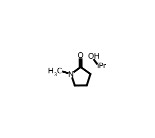 CC(C)O.CN1CCCC1=O